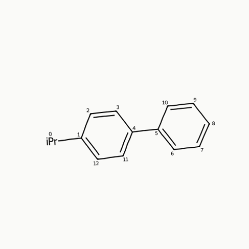 [CH2]C(C)c1ccc(-c2ccccc2)cc1